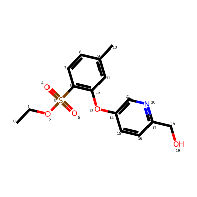 CCOS(=O)(=O)c1ccc(C)cc1Oc1ccc(CO)nc1